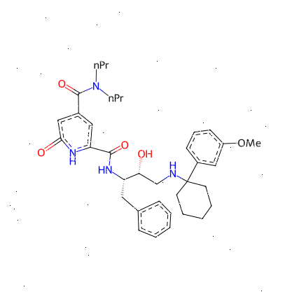 CCCN(CCC)C(=O)c1cc(C(=O)N[C@@H](Cc2ccccc2)[C@H](O)CNC2(c3cccc(OC)c3)CCCCC2)[nH]c(=O)c1